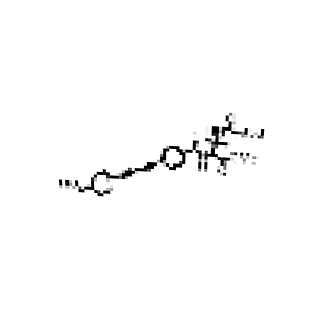 COC(=O)C(NC(=O)c1ccc(C#CC#CC2CCC(CO)CC2)cc1)C(C)(C)NC(=O)OC(C)(C)C